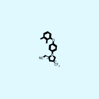 Cc1cccc(Oc2ccc(N3C[C@@H](C(F)(F)F)C[C@H]3CC#N)cc2)c1C